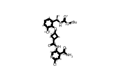 C[C@@H](NC(=O)OC(C)(C)C)c1cccc(C(F)(F)F)c1OC1CC(C(=O)Nc2cnc(Cl)cc2C(N)=O)C1